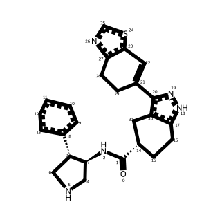 O=C(N[C@H]1CNC[C@@H]1c1ccccc1)[C@H]1CCc2[nH]nc(C3=Cc4scnc4CC3)c2C1